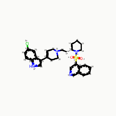 O=S(=O)(c1cncc2ccccc12)N1CCCC[C@H]1CCN1CC=C(c2c[nH]c3ccc(Cl)cc23)CC1